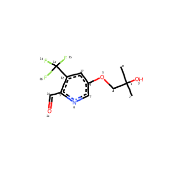 CC(C)(O)COc1cnc(C=O)c(C(F)(F)F)c1